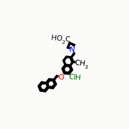 CC1=C(CN2CC(C(=O)O)C2)CCc2cc(OCc3ccc4ccccc4c3)ccc21.Cl